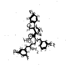 CCc1cccc(CN(C[C@@H](O)[C@@H](N)Cc2cc(F)cc(F)c2)C(=O)c2ncn3c2COc2cc(F)ccc2-3)c1